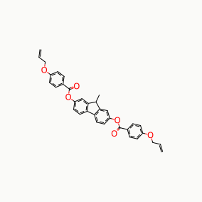 C=CCOc1ccc(C(=O)Oc2ccc3c(c2)C(C)c2cc(OC(=O)c4ccc(OCC=C)cc4)ccc2-3)cc1